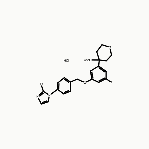 CCc1nccn1-c1ccc(COc2cc(F)cc(C3(OC)CCOCC3)c2)cc1.Cl